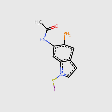 CC(=O)Nc1cc2c(ccn2SI)cc1P